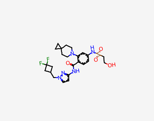 O=C(Nc1ccn(CC2CC(F)(F)C2)n1)c1ccc(NS(=O)(=O)CCO)cc1N1CCC2(CC1)CC2